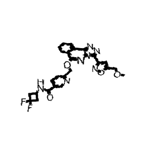 COCc1cc(-c2nnc3c4ccccc4c(OCc4ccc(C(=O)NC5CC(F)(F)C5)cn4)nn23)no1